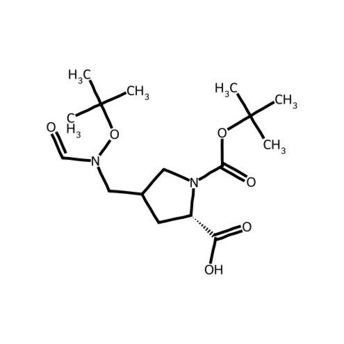 CC(C)(C)OC(=O)N1CC(CN(C=O)OC(C)(C)C)C[C@H]1C(=O)O